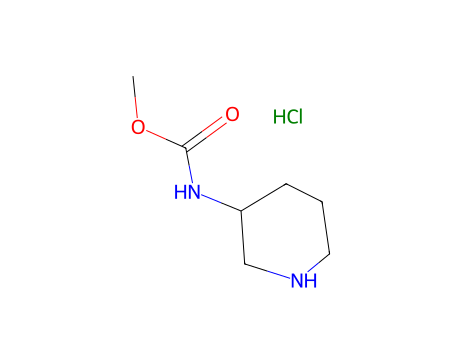 COC(=O)NC1CCCNC1.Cl